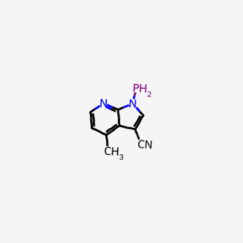 Cc1ccnc2c1c(C#N)cn2P